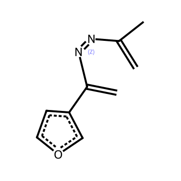 C=C(C)/N=N\C(=C)c1ccoc1